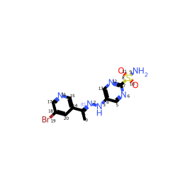 C/C(=N\Nc1cnc(S(N)(=O)=O)nc1)c1cncc(Br)c1